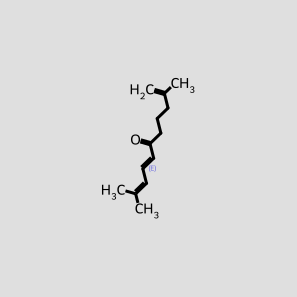 C=C(C)CCCC(=O)/C=C/C=C(C)C